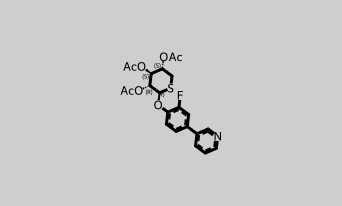 CC(=O)O[C@@H]1[C@@H](OC(C)=O)[C@H](OC(C)=O)CS[C@H]1Oc1ccc(-c2cccnc2)cc1F